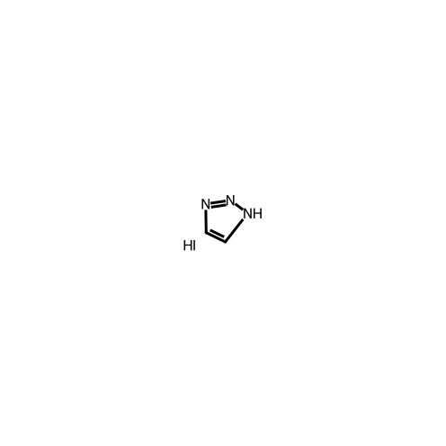 I.c1c[nH]nn1